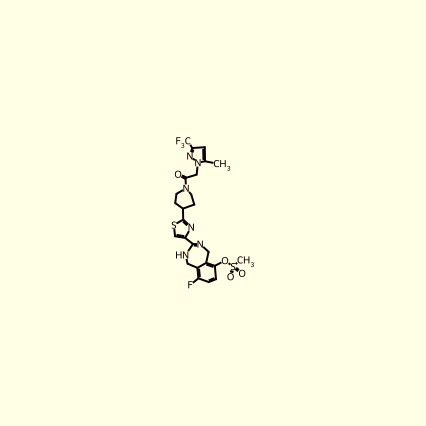 Cc1cc(C(F)(F)F)nn1CC(=O)N1CCC(c2nc(C3=NCc4c(OS(C)(=O)=O)ccc(F)c4CN3)cs2)CC1